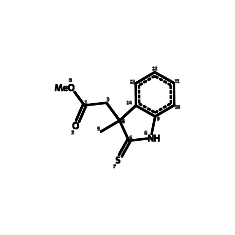 COC(=O)CC1(C)C(=S)Nc2ccccc21